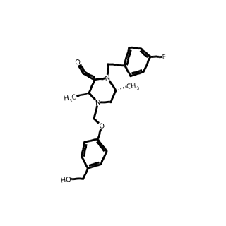 C[C@@H]1CN(COc2ccc(CO)cc2)[C@@H](C)C(=C=O)N1Cc1ccc(F)cc1